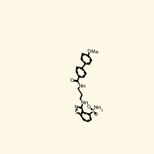 COc1ccc(-c2ccc(C(=O)NCCCNc3nsc4cccc(S(N)(=O)=O)c34)cc2)cc1